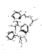 CC(=O)OCCc1ccccc1.CCC(C(=O)O)c1ccccc1.COC(Cc1ccccc1)OC